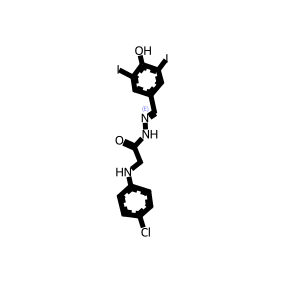 O=C(CNc1ccc(Cl)cc1)N/N=C/c1cc(I)c(O)c(I)c1